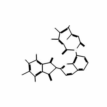 O=C1c2c(Cl)c(Cl)c(Cl)c(Cl)c2C(=O)C1c1ccc2cccc(N3C(=O)/C=C(Cl)/C(Cl)=C(Cl)\C(Cl)=C\C3=O)c2n1